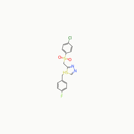 O=S(=O)(CC1=NN=C[SH]1Cc1ccc(F)cc1)c1ccc(Cl)cc1